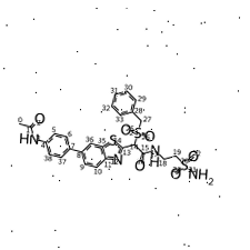 CC(=O)Nc1ccc(-c2ccc3nc(C(C(=O)NCCS(N)(=O)=O)S(=O)(=O)Cc4ccccc4)sc3c2)cc1